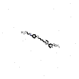 CCC/N=C/c1ccc(OCCCCCN2CCN(c3ccnc(OC)c3)S2)cc1